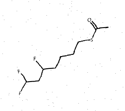 CC(=O)SCCCCC(F)CC(F)F